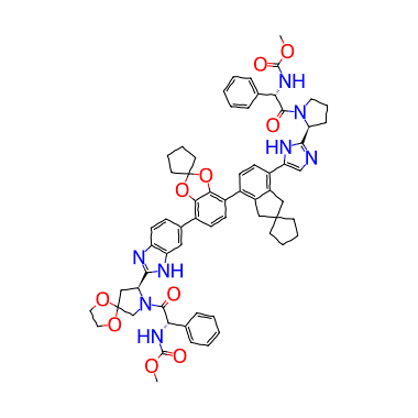 COC(=O)N[C@H](C(=O)N1CCC[C@H]1c1ncc(-c2ccc(-c3ccc(-c4ccc5nc([C@@H]6CC7(CN6C(=O)[C@@H](NC(=O)OC)c6ccccc6)OCCO7)[nH]c5c4)c4c3OC3(CCCC3)O4)c3c2CC2(CCCC2)C3)[nH]1)c1ccccc1